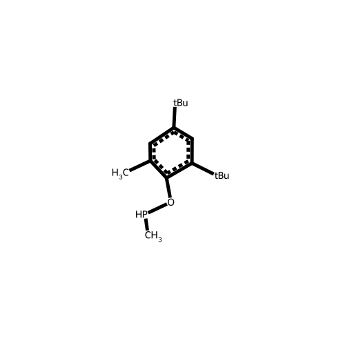 CPOc1c(C)cc(C(C)(C)C)cc1C(C)(C)C